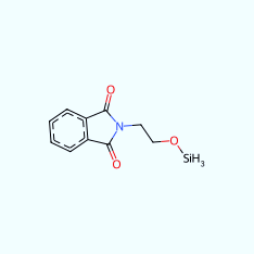 O=C1c2ccccc2C(=O)N1CCO[SiH3]